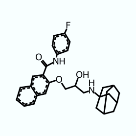 O=C(Nc1ccc(F)cc1)c1cc2ccccc2cc1OCC(O)CNC12CC3CC(CC(C3)C1)C2